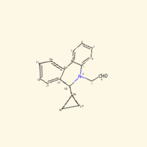 O=CCN1c2ccccc2-c2ccccc2C1C1CC1